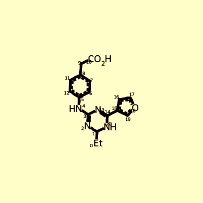 CCC1N=C(Nc2ccc(CC(=O)O)cc2)N=C(c2ccoc2)N1